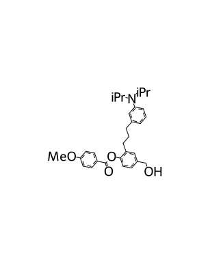 COc1ccc(C(=O)Oc2ccc(CO)cc2CCCc2cccc(N(C(C)C)C(C)C)c2)cc1